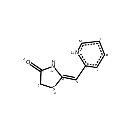 O=C1CSC(=Cc2ccccn2)N1